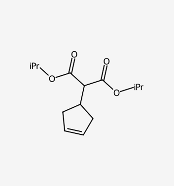 CC(C)OC(=O)C(C(=O)OC(C)C)C1CC=CC1